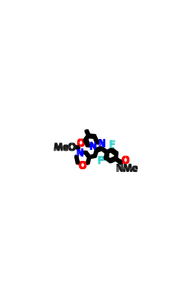 CNC(=O)c1cc(F)c(-c2nc3cc(C)ccn3c2CC2COCCN(C(=O)OC)C2)c(F)c1